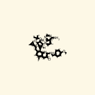 COc1ccc(CNc2nc3cc(CC(C4CC4)[C@@]45C[C@@H]4[C@@H](n4ccc6c(N)ncnc64)[C@@H]4OC(C)(C)O[C@@H]45)cc(F)c3cc2Cl)cc1